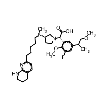 COC[C@@H](C)c1cc(F)c(OC)c([C@@H](C(=O)O)N2CC[C@@H](N(C)CCCCCc3ccc4c(n3)NCCC4)C2)c1